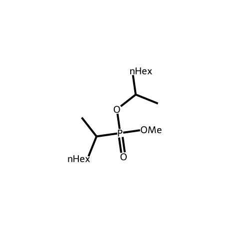 CCCCCCC(C)OP(=O)(OC)C(C)CCCCCC